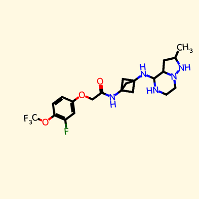 CC1CC2C(NC34CC(NC(=O)COc5ccc(OC(F)(F)F)c(F)c5)(C3)C4)NCCN2N1